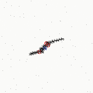 CCCCCCCCCCCC[C@H]1CO[C@H](c2ccc(-c3ccc(OCCCCCCCC)c(C)c3)nc2)OC1